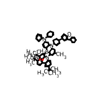 CC1=CC2=C3B(C4=C(CC(N(C5=CC=CCC5)c5ccccc5)C=C4)N(C4C=CC(c5ccc6oc7ccccc7c6c5)=CC4)C3C1)c1cc(C(C)(C)C)ccc1N2c1ccc(C(C)(C)C)cc1-c1ccc(C(C)(C)C)cc1